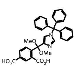 COC(OC)(c1cn(C(c2ccccc2)(c2ccccc2)c2ccccc2)cn1)c1ccc(C(=O)O)cc1C(=O)O